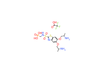 CC(N)COc1cc2nc(S(=O)(=O)NCP(=O)(O)O)sc2cc1OCC(C)N.O=C(O)C(F)(F)F